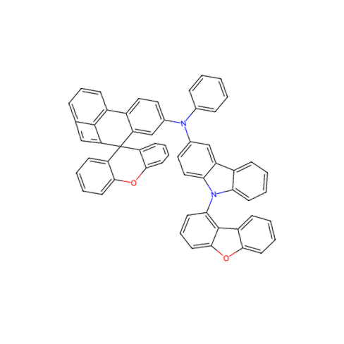 c1ccc(N(c2ccc3c(c2)C2(c4ccccc4Oc4ccccc42)c2cccc4cccc-3c24)c2ccc3c(c2)c2ccccc2n3-c2cccc3oc4ccccc4c23)cc1